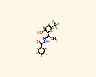 C/C(=N\NC(=O)c1ccccc1)c1cc(C(F)(F)F)ccc1O